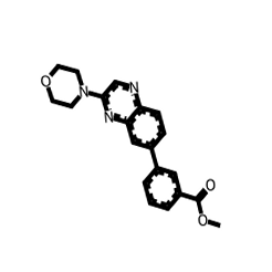 COC(=O)c1cccc(-c2ccc3ncc(N4CCOCC4)nc3c2)c1